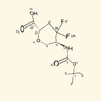 CC(C)(C)OC(=O)N[C@H]1CO[C@H](C(=O)O)CC1(F)F